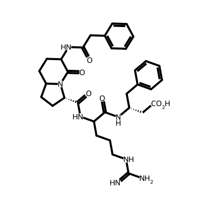 N=C(N)NCCCC(NC(=O)[C@@H]1CCC2CCC(NC(=O)Cc3ccccc3)C(=O)N21)C(=O)N[C@@H](CC(=O)O)Cc1ccccc1